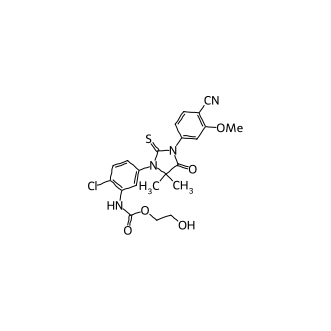 COc1cc(N2C(=O)C(C)(C)N(c3ccc(Cl)c(NC(=O)OCCO)c3)C2=S)ccc1C#N